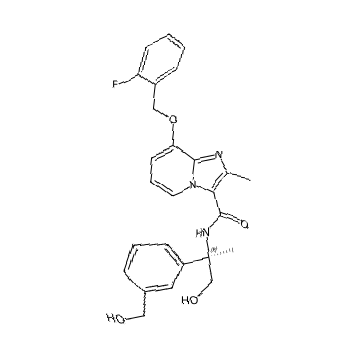 Cc1nc2c(OCc3ccccc3F)cccn2c1C(=O)N[C@@](C)(CO)c1cccc(CO)c1